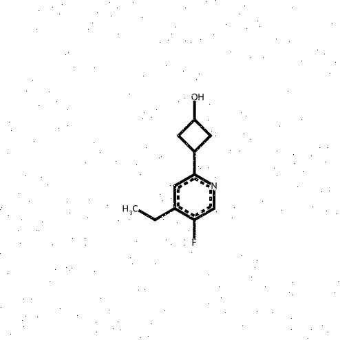 CCc1cc(C2CC(O)C2)ncc1F